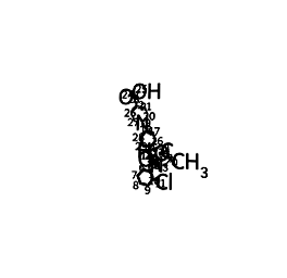 CC(C)CN(c1ccccc1Cl)S(=O)(=O)c1ccc(N2CCC(C(=O)O)CC2)cc1